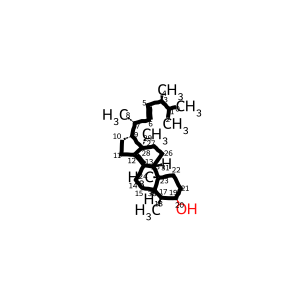 CC(C)[C@H](C)/C=C/[C@@H](C)[C@H]1CCC2=C3CC[C@H]4[C@H](C)[C@@H](O)CC[C@]4(C)[C@H]3CC[C@@]21C